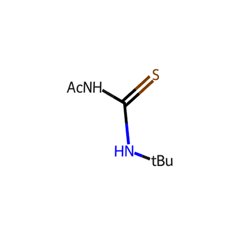 CC(=O)NC(=S)NC(C)(C)C